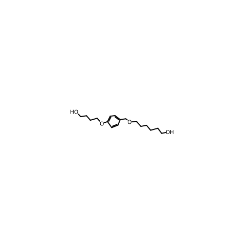 OCCCCCCOCc1ccc(OCCCCO)cc1